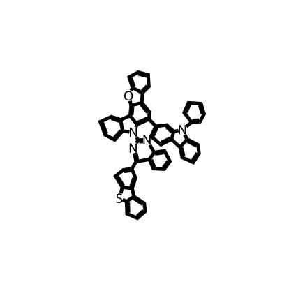 c1ccc(-n2c3ccccc3c3ccc(-c4cc5c6ccccc6oc5c5c6ccccc6n(-c6nc(-c7ccc8sc9ccccc9c8c7)c7ccccc7n6)c45)cc32)cc1